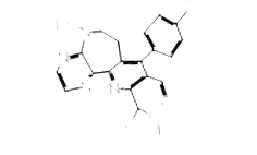 CC(C)c1nc2c(c(-c3ccc(F)cc3)c1C=O)CCN(C)c1nccnc1-2